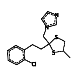 CC1CSC(CCc2ccccc2Cl)(Cn2ccnc2)S1